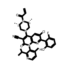 C=CC(=O)N1[C@H](C)CN(c2c(C#N)c(=O)n(-c3c(C)ccnc3C(C)C)c3nc(-c4c(O)cccc4F)c(Cl)cc23)C[C@@H]1C